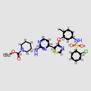 Cc1ccc(NS(=O)(=O)c2ccccc2Cl)cc1Oc1ncsc1-c1ccnc(N[C@H]2CCCN(C(=O)OC(C)(C)C)C2)n1